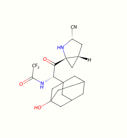 N#C[C@@H]1C[C@@H]2C[C@]2(C(=O)[C@@H](NC(=O)C(F)(F)F)C23CC4CC(CC(O)(C4)C2)C3)N1